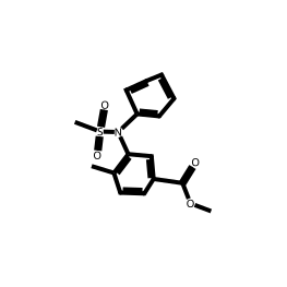 COC(=O)c1ccc(C)c(N(c2ccccc2)S(C)(=O)=O)c1